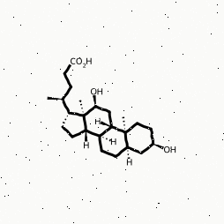 C[C@@H](CCC(=O)O)[C@H]1CC[C@H]2[C@@H]3CC[C@@H]4C[C@H](O)CC[C@]4(C)[C@H]3C[C@H](O)[C@]12C